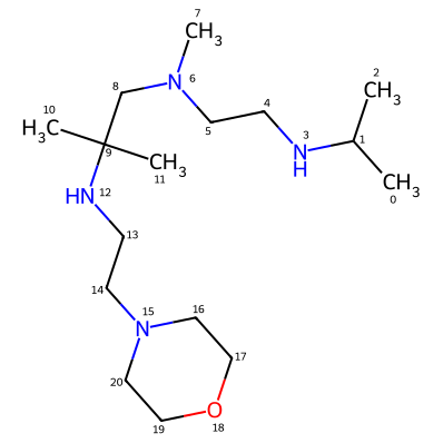 CC(C)NCCN(C)CC(C)(C)NCCN1CCOCC1